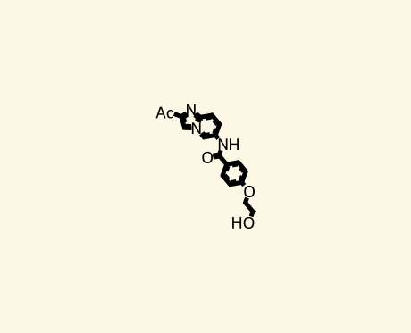 CC(=O)c1cn2cc(NC(=O)c3ccc(OCCO)cc3)ccc2n1